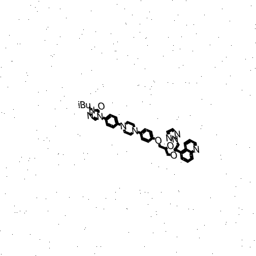 CCC(C)n1ncn(-c2ccc(N3CCN(c4ccc(OCC5COC(Cn6nccn6)(c6cccc7ncccc67)O5)cc4)CC3)cc2)c1=O